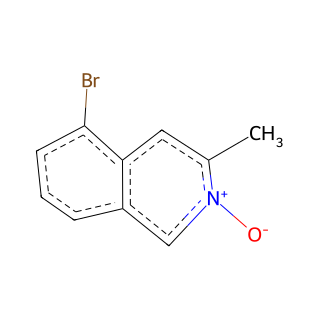 Cc1cc2c(Br)cccc2c[n+]1[O-]